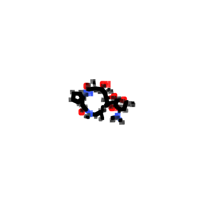 C[C@H]1CN(C)C(=O)CC2(CCCC2)NC(=O)[C@H](C)[C@@H](O)[C@H](C)[C@@H](O[C@H]2C[C@@H](N(C)C)C[C@@H](C)O2)[C@](C)(O)C1